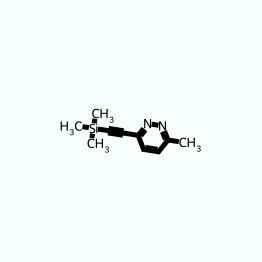 Cc1ccc(C#C[Si](C)(C)C)nn1